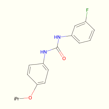 CC(C)Oc1ccc(NC(=O)Nc2cccc(F)c2)cc1